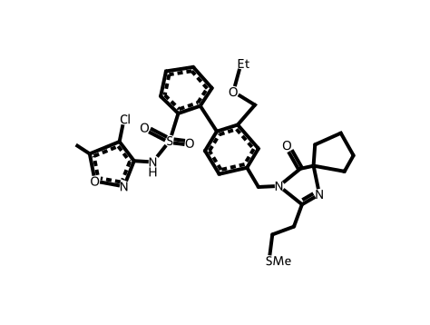 CCOCc1cc(CN2C(=O)C3(CCCC3)N=C2CCSC)ccc1-c1ccccc1S(=O)(=O)Nc1noc(C)c1Cl